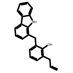 C=CCc1cccc(Cc2cccc3c2[nH]c2ccccc23)c1O